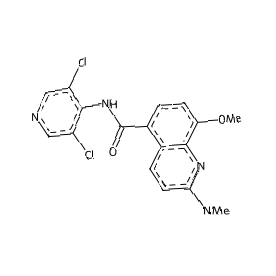 CNc1ccc2c(C(=O)Nc3c(Cl)cncc3Cl)ccc(OC)c2n1